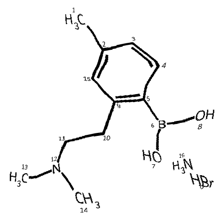 Br.Cc1ccc(B(O)O)c(CCN(C)C)c1.N